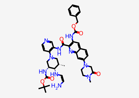 C[C@H]1CN(c2ccncc2NC(=O)c2nc3cc(N4CCN(C)C(=O)C4)ccc3cc2NC(=O)OCc2ccccc2)C[C@@H](NC(=O)OC(C)(C)C)[C@H]1N/C=C\N